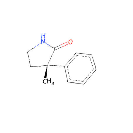 C[C@@]1(c2ccccc2)CCNC1=O